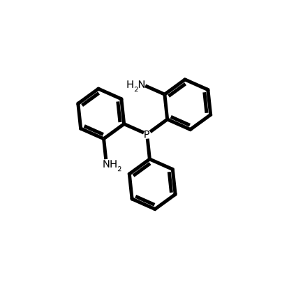 Nc1ccccc1P(c1ccccc1)c1ccccc1N